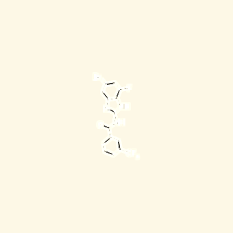 O=C(Nc1nc2cc(Br)cc(F)c2[nH]1)c1cccc(C(F)(F)F)c1